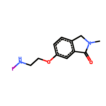 CN1Cc2ccc(OCCNI)cc2C1=O